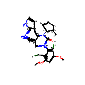 COc1cc(OC)c(F)c(N2Cc3cnc4[nH]ccc4c3N([C@@H]3CCC[C@H]3C)C2=O)c1F